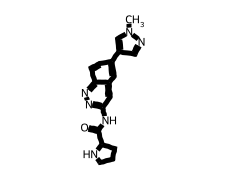 Cn1cc(-c2ccc3nnc(NC(=O)C4CCCN4)cc3c2)cn1